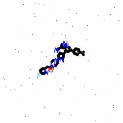 CC(C)c1ccc(-c2cc(-c3ccc(N4CCN(C(=O)Cc5ccc(F)cn5)CC4)nc3)c3c(C#N)cnn3c2)cc1